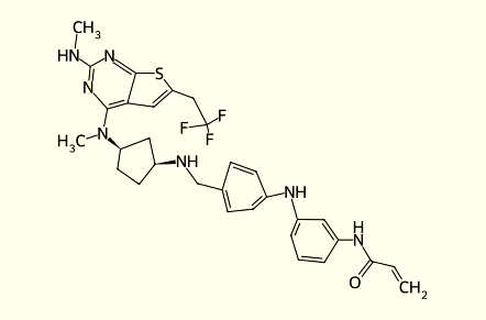 C=CC(=O)Nc1cccc(Nc2ccc(CN[C@H]3CC[C@@H](N(C)c4nc(NC)nc5sc(CC(F)(F)F)cc45)C3)cc2)c1